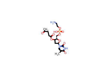 CC(=O)CCC(=O)OC1CC(n2cc(C)c(=O)[nH]c2=O)O[C@@H]1COP(=O)(O)OCCN